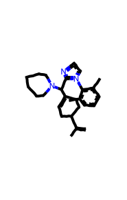 C=C(C)C1CC=C(C(c2nccn2-c2c(C)cccc2C)N2CCCCCC2)CC1